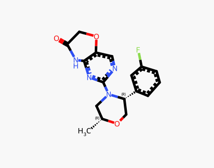 C[C@@H]1CN(c2ncc3c(n2)NC(=O)CO3)[C@H](c2cccc(F)c2)CO1